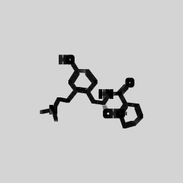 CN(C)CCc1cc(O)ccc1C[C@@H]([C]=O)NC(=O)c1ccccc1